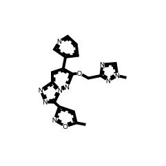 Cc1cc(-c2nnc3cc(-c4cccnc4)c(OCc4ncn(C)n4)nn23)no1